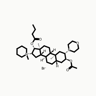 CCCC(=O)O[C@H]1[C@@H]([N+]2(C)CCCCC2)C[C@H]2[C@@H]3CC[C@H]4C[C@H](OC(C)=O)[C@@H](N5CCOCC5)C[C@]4(C)[C@H]3CC[C@@]21C.[Br-]